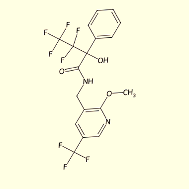 COc1ncc(C(F)(F)F)cc1CNC(=O)C(O)(c1ccccc1)C(F)(F)C(F)(F)F